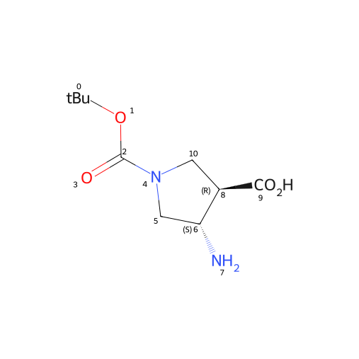 CC(C)(C)OC(=O)N1C[C@@H](N)[C@H](C(=O)O)C1